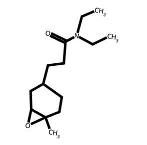 CCN(CC)C(=O)CCC1CCC2(C)OC2C1